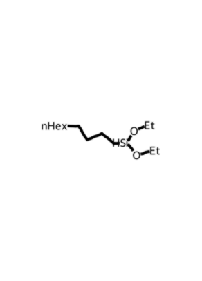 CCCCCCCCCC[SiH](OCC)OCC